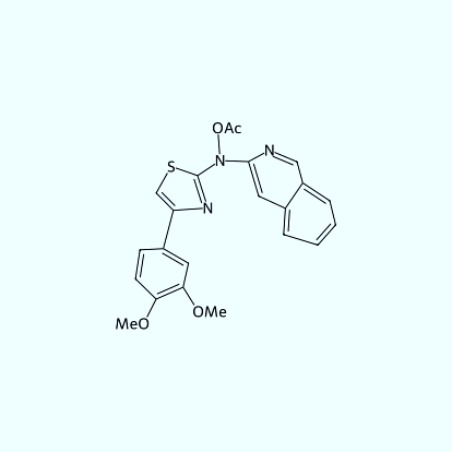 COc1ccc(-c2csc(N(OC(C)=O)c3cc4ccccc4cn3)n2)cc1OC